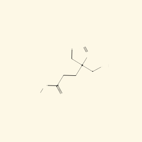 CCC(CC)(CCC(=O)OC)P=O